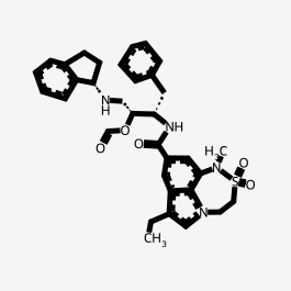 CCc1cn2c3c(cc(C(=O)N[C@@H](Cc4ccccc4)[C@@H](CN[C@H]4CCc5ccccc54)OC=O)cc13)N(C)S(=O)(=O)CC2